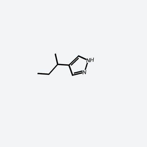 CC[C](C)c1cn[nH]c1